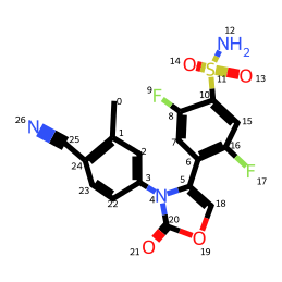 Cc1cc(-n2c(-c3cc(F)c(S(N)(=O)=O)cc3F)coc2=O)ccc1C#N